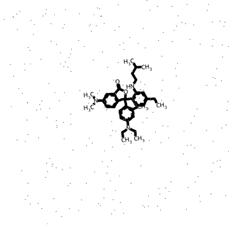 CCc1ccc(C2(c3ccc(N(CC)CC)cc3C)OC(=O)c3cc(N(C)C)ccc32)c(NCCC(C)C)c1